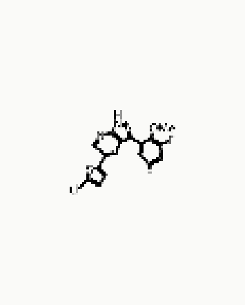 COc1c(F)cc(F)cc1-c1n[nH]c2ncc(-c3ccc(Cl)s3)cc12